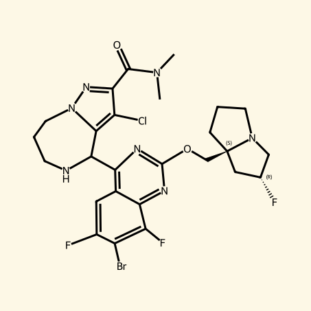 CN(C)C(=O)c1nn2c(c1Cl)C(c1nc(OC[C@@]34CCCN3C[C@H](F)C4)nc3c(F)c(Br)c(F)cc13)NCCC2